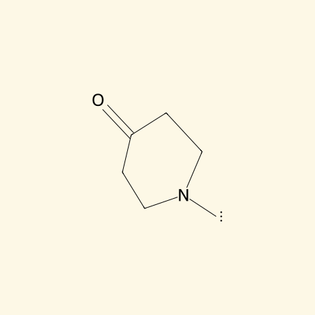 [C]N1CCC(=O)CC1